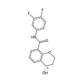 O=C(Nc1ccc(F)c(F)c1)c1cccc2c1OCC[C@@H]2O